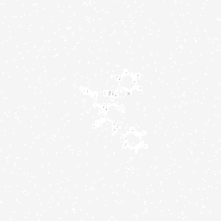 O=[C]CN(C(=O)/C=C/c1ccccc1)C(=O)Nc1ccccn1